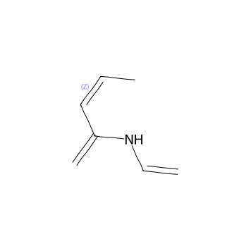 C=CNC(=C)/C=C\C